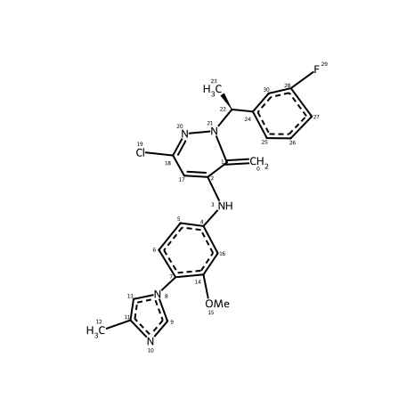 C=C1C(Nc2ccc(-n3cnc(C)c3)c(OC)c2)=CC(Cl)=NN1[C@@H](C)c1cccc(F)c1